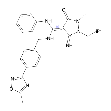 Cc1nc(-c2ccc(CN/C(Nc3ccccc3)=C3\C(=N)N(CC(C)C)N(C)C3=O)cc2)no1